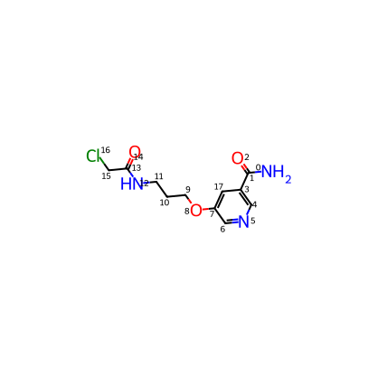 NC(=O)c1cncc(OCCCNC(=O)CCl)c1